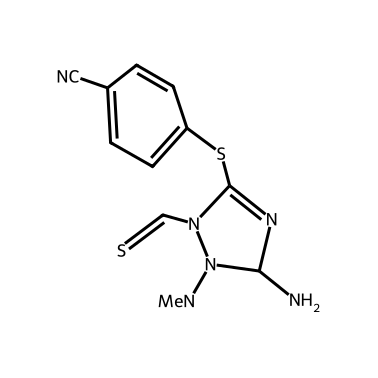 CNN1C(N)N=C(Sc2ccc(C#N)cc2)N1C=S